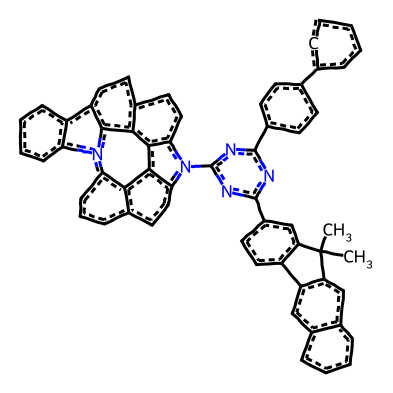 CC1(C)c2cc(-c3nc(-c4ccc(-c5ccccc5)cc4)nc(-n4c5ccc6cccc7c6c5c5c6c(ccc8c9ccccc9n7c86)ccc54)n3)ccc2-c2cc3ccccc3cc21